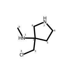 CNC1(CCl)CCNC1